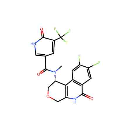 CN(C(=O)c1c[nH]c(=O)c(C(F)(F)F)c1)[C@H]1COCc2[nH]c(=O)c3cc(F)c(F)cc3c21